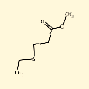 CCSCCC(=O)OC